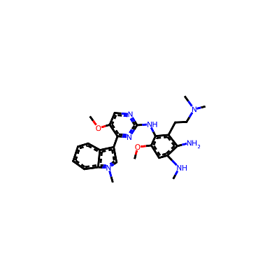 CNc1cc(OC)c(Nc2ncc(OC)c(-c3cn(C)c4ccccc34)n2)c(CCN(C)C)c1N